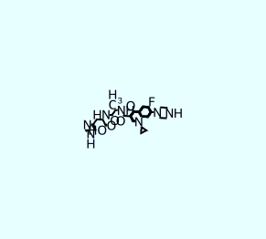 CC(NC(=O)c1cn(C2CC2)c2cc(N3CCNCC3)c(F)cc2c1=O)C(=O)NC(Cc1c[nH]cn1)C(=O)O